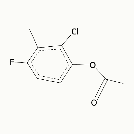 CC(=O)Oc1ccc(F)c(C)c1Cl